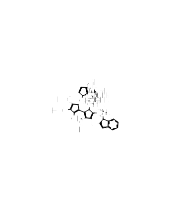 CC1=C(C)C(C)C(C2=C(C)C(C)=C(C)C2C)=C1C.[CH3][Zr]([CH3])([CH3])([CH3])([Cl])([Cl])[C]1=CC=CC1.[Cl-].[Cl-].[Zr+2][CH]1C=Cc2ccccc21